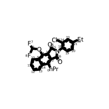 CCCc1c2c(c(OC(F)F)c3ccccc13)C(=O)N(c1ccc(CC)cc1Cl)C2=O